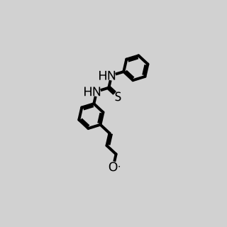 [O]CC=Cc1cccc(NC(=S)Nc2ccccc2)c1